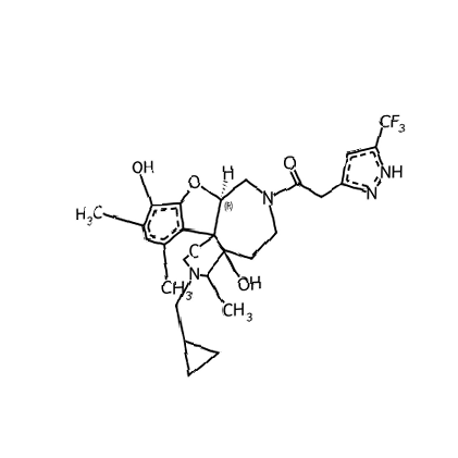 Cc1cc(C)c2c(c1O)O[C@H]1CN(C(=O)Cc3cc(C(F)(F)F)[nH]n3)CCC3(O)C(C)N(CC4CC4)CCC213